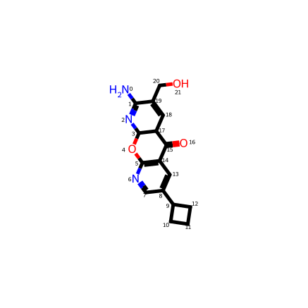 NC1=NC2Oc3ncc(C4CCC4)cc3C(=O)C2C=C1CO